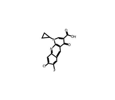 O=C(O)c1cn(C2CC2)c2nc3cc(Cl)c(F)cc3cc2c1=O